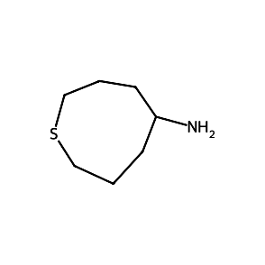 NC1CCCSCCC1